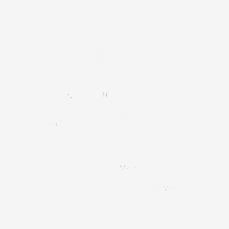 COC(OC)c1cccc(Sc2sc(CC(NC(=O)O)C(C)(C)C)nc2-c2ccccc2F)c1